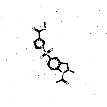 COC(=O)c1ccn(S(=O)(=O)c2ccc3c(c2)CC(C)N3C(C)=O)c1